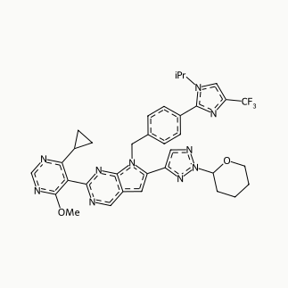 COc1ncnc(C2CC2)c1-c1ncc2cc(-c3cnn(C4CCCCO4)n3)n(Cc3ccc(-c4nc(C(F)(F)F)cn4C(C)C)cc3)c2n1